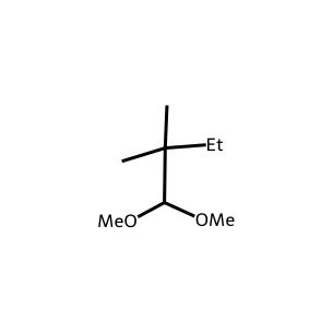 CCC(C)(C)C(OC)OC